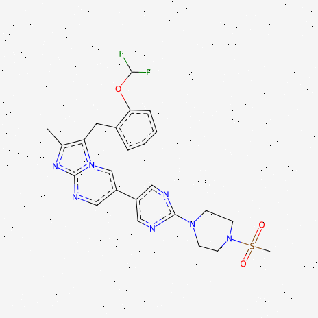 Cc1nc2ncc(-c3cnc(N4CCN(S(C)(=O)=O)CC4)nc3)cn2c1Cc1ccccc1OC(F)F